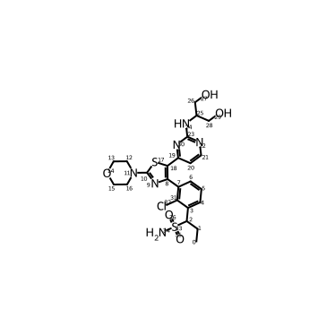 CCC(c1cccc(-c2nc(N3CCOCC3)sc2-c2ccnc(NC(CO)CO)n2)c1Cl)S(N)(=O)=O